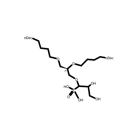 CCCCCCCCCCCCCCOC[C@H](COC(C(O)CO)P(=O)(O)O)OCCCCCCCCCCCCCC